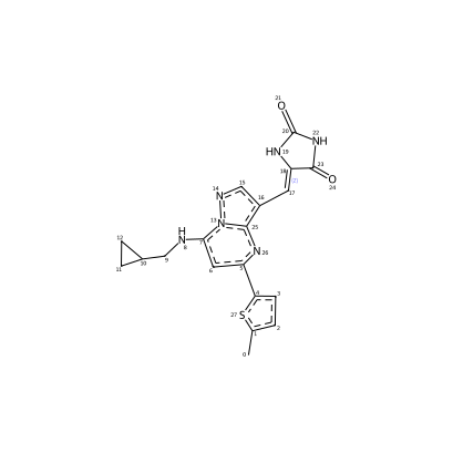 Cc1ccc(-c2cc(NCC3CC3)n3ncc(/C=C4\NC(=O)NC4=O)c3n2)s1